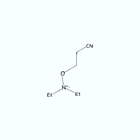 CC[N+](CC)OCCC#N